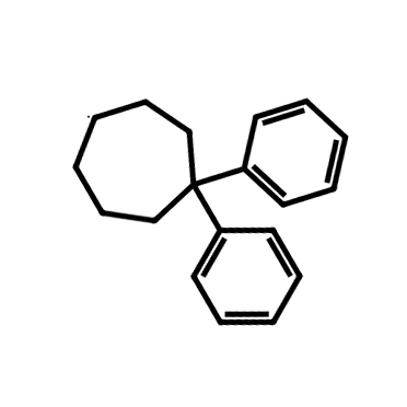 [CH]1CCCC(c2ccccc2)(c2ccccc2)CC1